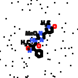 COc1nc(-c2ccc(=O)n(C)c2)cnc1NC(=O)c1c(-c2ccccc2)noc1C